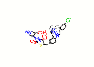 O=C1SC(=Cc2ccc3c(cnn3Cc3ccc(Cl)cc3C(F)(F)F)c2)C(=O)N1[C@@H]1CNC[C@H]1O